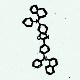 c1ccc(N(c2ccc(-c3nc4ccc(N(c5ccccc5)c5cccc6ccccc56)cc4o3)cc2)c2cccc3ccccc23)cc1